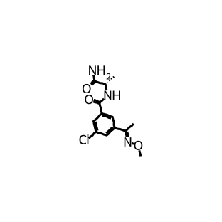 CO/N=C(\C)c1cc(Cl)cc(C(=O)N[C@@H](C)C(N)=O)c1